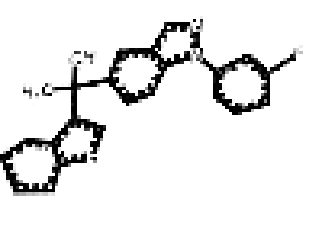 CC(O)(c1ccc2c(cnn2-c2cccc(F)c2)c1)c1csc2ccccc12